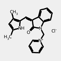 Cc1cc(C)c(/C=C2\C(=O)N(C[n+]3ccccc3)c3ccccc32)[nH]1.[Cl-]